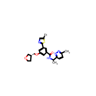 CCc1cnc(-c2cc(OC[C@@H]3CCOC3)cc(C(=O)N[C@H](C)c3ccc(C)nn3)c2)s1